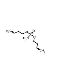 C=CCCOP(N)(=O)OCCC=C